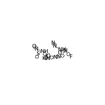 Cc1cc(S(=O)(=O)Nc2ccc(N3CCN(c4cccc(-c5c(C(=O)NCCCN6CCN(C)CC6)c(C)n(C)c5-c5ccc(F)cc5)c4)CC3)cc2)ccc1N[C@H](CCN1CCOCC1)CSc1ccccc1